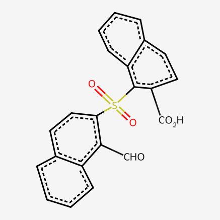 O=Cc1c(S(=O)(=O)c2c(C(=O)O)ccc3ccccc23)ccc2ccccc12